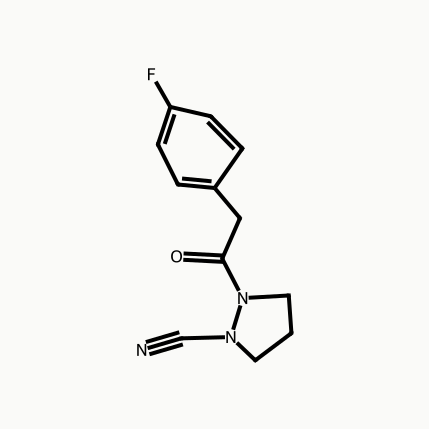 N#CN1CCCN1C(=O)Cc1ccc(F)cc1